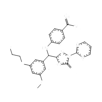 COc1cc(OCCO)cc(C(Nc2ccc(C(=N)N)cc2)c2nn(-c3ncccn3)c(=O)[nH]2)c1